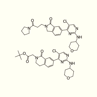 CC(C)(C)OC(=O)CN1CCc2ccc(-c3nc(NC4CCOCC4)ncc3Cl)cc2C1=O.O=C(CCN1Cc2ccc(-c3nc(NC4CCOCC4)ncc3Cl)cc2C1=O)N1CCCC1